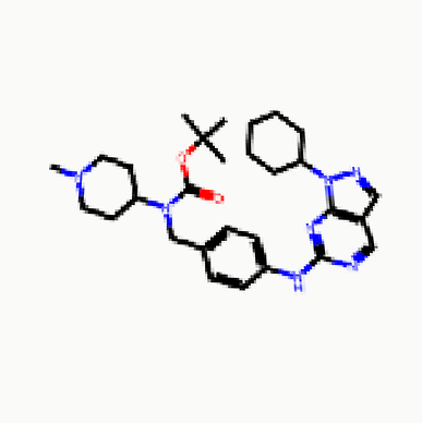 CN1CCC(N(Cc2ccc(Nc3ncc4cnn(C5CCCCC5)c4n3)cc2)C(=O)OC(C)(C)C)CC1